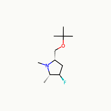 C[C@H]1[C@H](F)C[C@@H](COC(C)(C)C)N1C